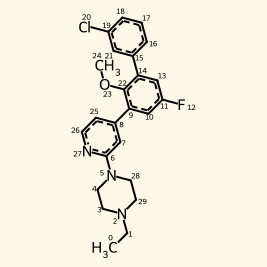 CCN1CCN(c2cc(-c3cc(F)cc(-c4cccc(Cl)c4)c3OC)ccn2)CC1